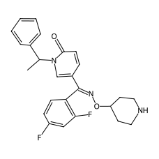 CC(c1ccccc1)n1cc(C(=NOC2CCNCC2)c2ccc(F)cc2F)ccc1=O